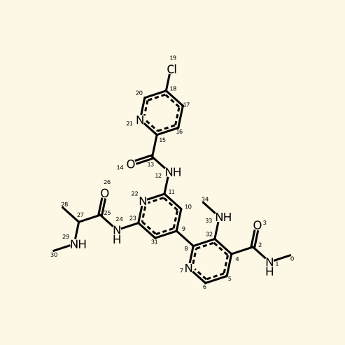 CNC(=O)c1ccnc(-c2cc(NC(=O)c3ccc(Cl)cn3)nc(NC(=O)C(C)NC)c2)c1NC